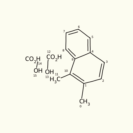 Cc1ccc2ccccc2c1C.O=C(O)O.O=C(O)O